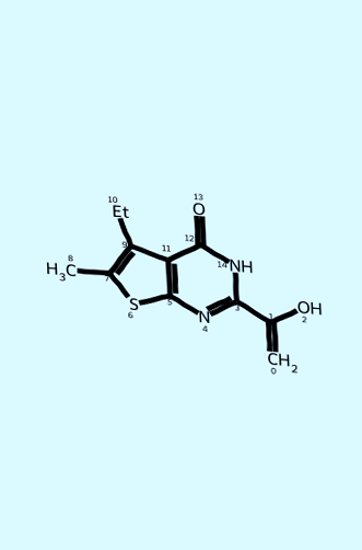 C=C(O)c1nc2sc(C)c(CC)c2c(=O)[nH]1